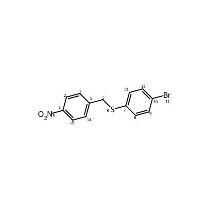 O=[N+]([O-])c1ccc(CSc2ccc(Br)cc2)cc1